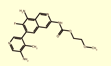 COCCOC(=O)Nc1cc2cc(-c3cncc(N)c3C)c(F)c(N)c2cn1